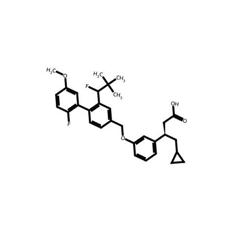 COc1ccc(F)c(-c2ccc(COc3cccc([C@@H](CC(=O)O)CC4CC4)c3)cc2C(F)C(C)(C)C)c1